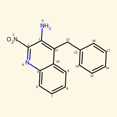 Nc1c([N+](=O)[O-])nc2ccccc2c1Cc1ccccc1